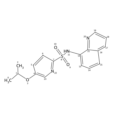 CC(C)Oc1ccc(S(=O)(=O)Nc2cccc3cccnc23)nc1